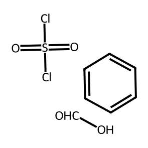 O=CO.O=S(=O)(Cl)Cl.c1ccccc1